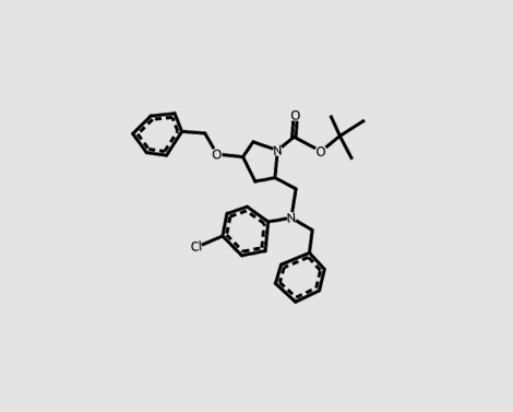 CC(C)(C)OC(=O)N1CC(OCc2ccccc2)CC1CN(Cc1ccccc1)c1ccc(Cl)cc1